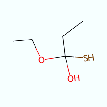 CCOC(O)(S)CC